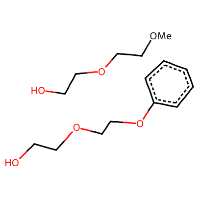 COCCOCCO.OCCOCCOc1ccccc1